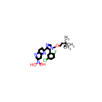 C[Si](C)(C)CCOCn1cnc(-c2ccc3ncc(N(O)O)cc3n2)c1-c1cc(Cl)ccc1F